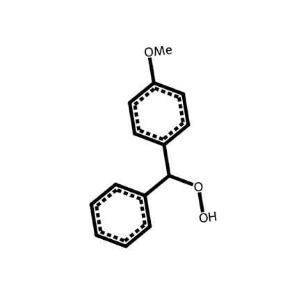 COc1ccc(C(OO)c2ccccc2)cc1